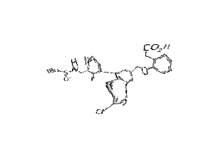 CC(C)(C)[S+]([O-])NCc1nccc(-c2cc(COc3ccccc3CC(=O)O)cc3sc(Cl)cc23)c1F